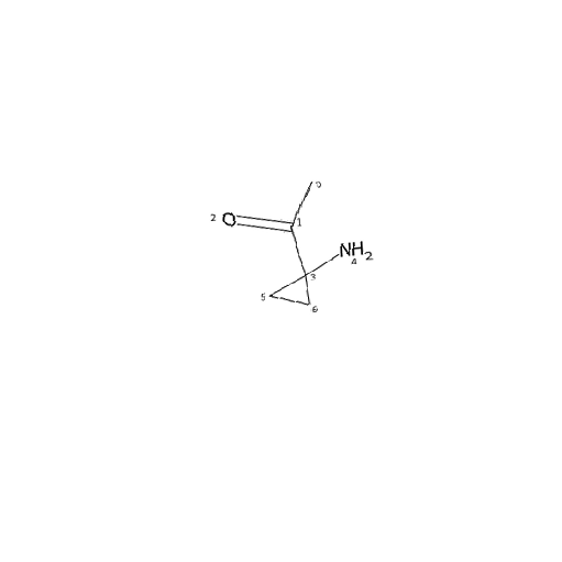 CC(=O)C1(N)CC1